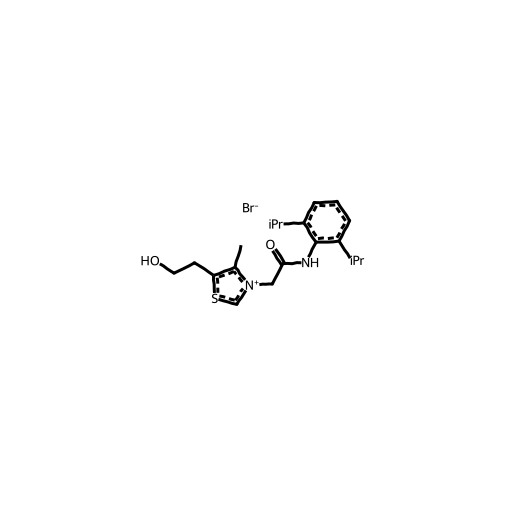 Cc1c(CCO)sc[n+]1CC(=O)Nc1c(C(C)C)cccc1C(C)C.[Br-]